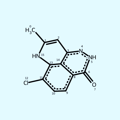 CC1=Cc2n[nH]c(=O)c3ccc(Cl)c(c23)N1